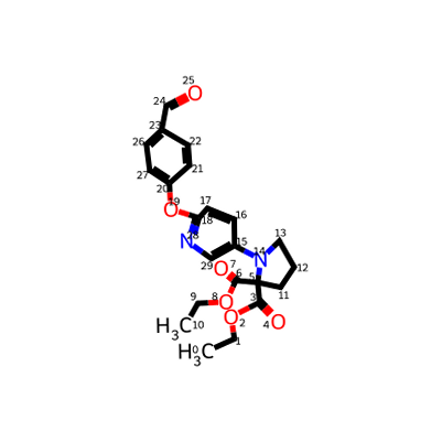 CCOC(=O)C1(C(=O)OCC)CCCN1c1ccc(Oc2ccc(C=O)cc2)nc1